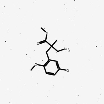 COC(=O)C(C)(CN)Cc1cc(Cl)ccc1OC